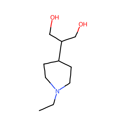 CCN1CCC(C(CO)CO)CC1